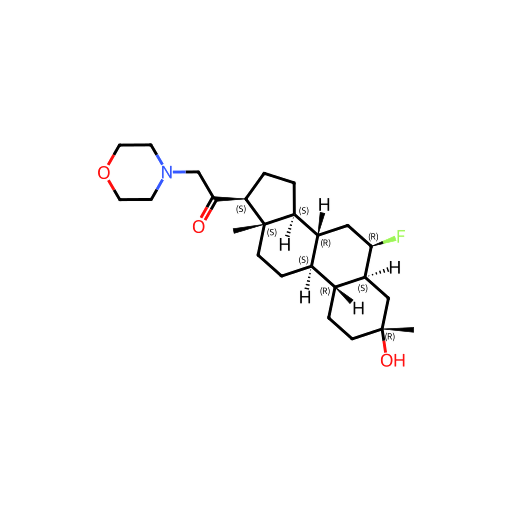 C[C@@]1(O)CC[C@@H]2[C@H]3CC[C@]4(C)[C@@H](C(=O)CN5CCOCC5)CC[C@H]4[C@@H]3C[C@@H](F)[C@H]2C1